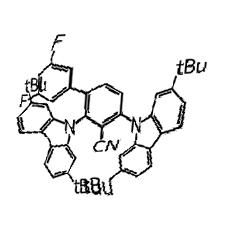 CC(C)(C)c1ccc2c3ccc(C(C)(C)C)cc3n(-c3ccc(-c4cc(F)cc(F)c4)c(-n4c5cc(C(C)(C)C)ccc5c5ccc(C(C)(C)C)cc54)c3C#N)c2c1